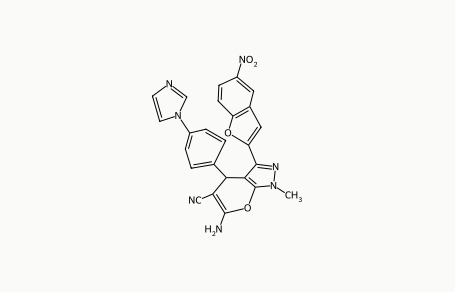 Cn1nc(-c2cc3cc([N+](=O)[O-])ccc3o2)c2c1OC(N)=C(C#N)C2c1ccc(-n2ccnc2)cc1